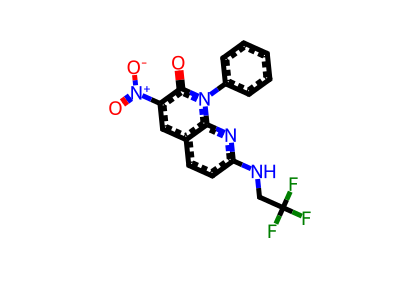 O=c1c([N+](=O)[O-])cc2ccc(NCC(F)(F)F)nc2n1-c1ccccc1